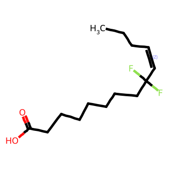 CCC/C=C\C(F)(F)CCCCCCCC(=O)O